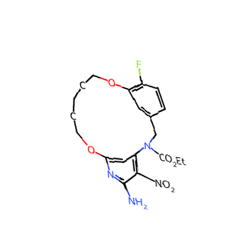 CCOC(=O)N1Cc2ccc(F)c(c2)OCCCCCOc2cc1c([N+](=O)[O-])c(N)n2